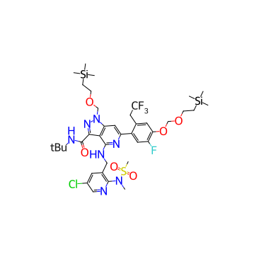 CN(c1ncc(Cl)cc1CNc1nc(-c2cc(F)c(OCOCC[Si](C)(C)C)cc2CC(F)(F)F)cc2c1c(C(=O)NC(C)(C)C)nn2COCC[Si](C)(C)C)S(C)(=O)=O